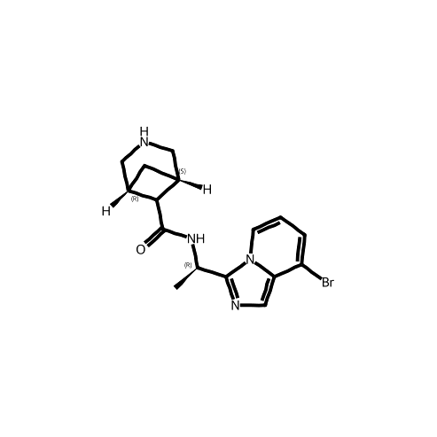 C[C@@H](NC(=O)C1[C@@H]2CNC[C@H]1C2)c1ncc2c(Br)cccn12